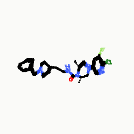 C[C@@H]1CN(c2cnc(Cl)c(F)c2)C[C@H](C)N1C(=O)NCCC1CCN(Cc2ccccc2)CC1